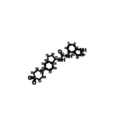 O=C(Nc1cccc2[nH]ncc12)NC1CCc2cc(N3CCS(=O)(=O)CC3)ccc21